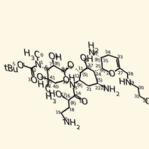 CN(C(=O)OC(C)(C)C)[C@@H]1[C@@H](O)[C@@H](O[C@H]2[C@H](NC(=O)[C@H](O)CCN)C[C@H](N)C([C@H]3OC(CNCCO)=CC[C@H]3N)[C@@H]2O)OC[C@]1(C)O